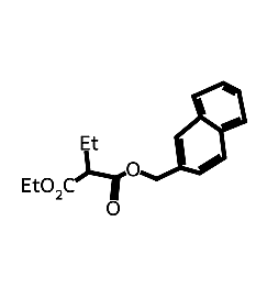 CCOC(=O)C(CC)C(=O)OCc1ccc2ccccc2c1